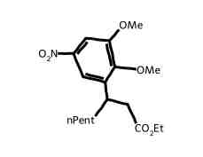 CCCCCC(CC(=O)OCC)c1cc([N+](=O)[O-])cc(OC)c1OC